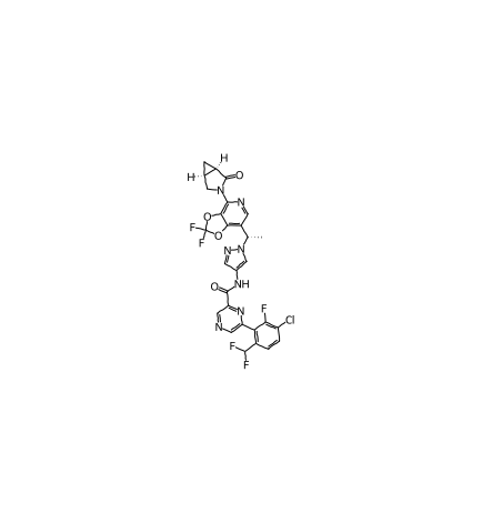 C[C@@H](c1cnc(N2C[C@H]3C[C@H]3C2=O)c2c1OC(F)(F)O2)n1cc(NC(=O)c2cncc(-c3c(C(F)F)ccc(Cl)c3F)n2)cn1